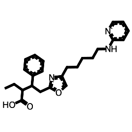 CCC(C(=O)O)C(Cc1nc(CCCCCNc2ccccn2)co1)c1ccccc1